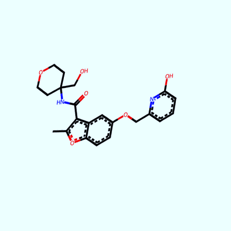 Cc1oc2ccc(OCc3cccc(O)n3)cc2c1C(=O)NC1(CO)CCOCC1